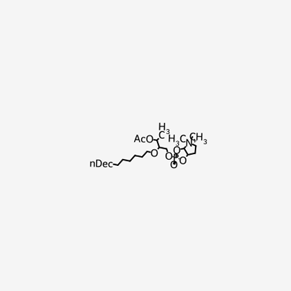 CCCCCCCCCCCCCCCCOC(COP1(=O)OC2CC[N+](C)(C)C2O1)C(C)OC(C)=O